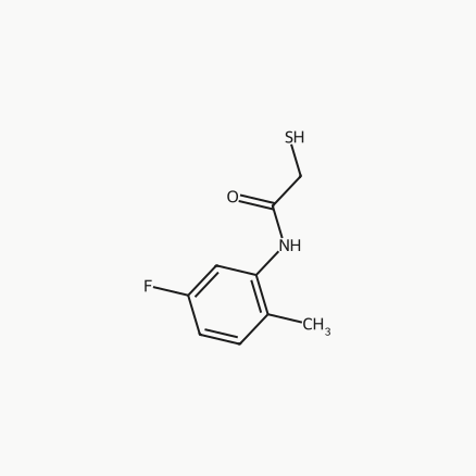 Cc1ccc(F)cc1NC(=O)CS